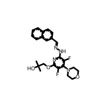 CC(C)(O)COc1nc(NN=Cc2ccc3ccccc3c2)c(F)c(N2CCOCC2)c1F